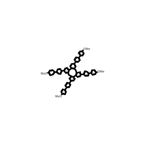 COc1ccc(-c2ccc(-c3ccc4c(c3)Cc3cc(-c5ccc(-c6ccc(OC)cc6)cc5)ccc3-c3ccc(-c5ccc(-c6ccc(OC)cc6)cc5)cc3Cc3cc(-c5ccc(-c6ccc(OC)cc6)cc5)ccc3-4)cc2)cc1